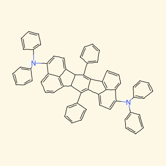 c1ccc(C2=C3C(=C(c4ccccc4)C4c5ccc(N(c6ccccc6)c6ccccc6)c6cccc(c56)C24)c2cccc4c(N(c5ccccc5)c5ccccc5)ccc3c24)cc1